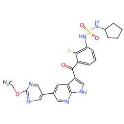 COc1ncc(-c2cnc3[nH]cc(C(=O)c4cccc(NS(=O)(=O)NC5CCCC5)c4F)c3c2)cn1